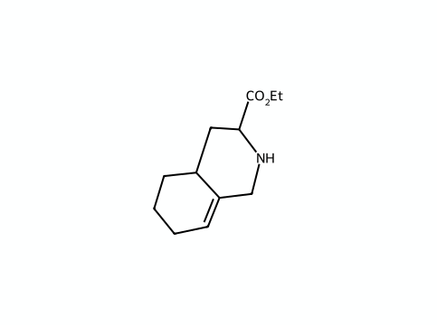 CCOC(=O)C1CC2CCCC=C2CN1